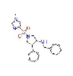 Cn1cnc(S(=O)(=O)N2CC(NCc3ccccc3)C(c3ccccc3)C2)c1